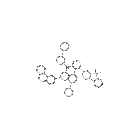 CC1(C)c2ccccc2-c2ccc(-c3cccc(N(c4cccc(-c5ccccc5)c4)c4cccc(-c5ccc6ccc7ccccc7c6c5)c4)c3-c3ccc(-c4ccccc4)cc3)cc21